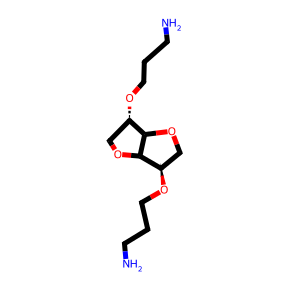 NCCCO[C@H]1COC2C1OC[C@H]2OCCCN